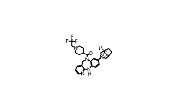 O=C(C1CCN(CC(F)(F)F)CC1)N1Cc2cccnc2Nc2ccc(N3CC4CC[C@H](C3)O4)cc21